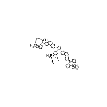 C=C1/C=C\C=C/CC(C)(C)c2ccccc2C1c1ccc2c(ccc3cc(C4=CC=C(c5ccc6c(ccc7cc(N8c9ccccc9C(C)(C)c9ccccc98)ccc76)c5)C4c4ccc(C(P)(P)P)cc4)ccc32)c1